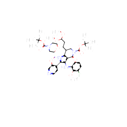 COc1c(F)cccc1Nc1c(-c2ccncc2OC[C@@H]2CN(C(=O)OC(C)(C)C)CCO2)[nH]c2c1C(=O)N(C(=O)OC(C)(C)C)CC2CCC(OC)OC